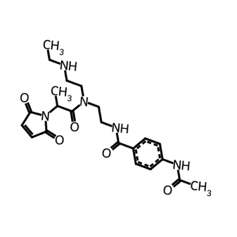 CCNCCN(CCNC(=O)c1ccc(NC(C)=O)cc1)C(=O)C(C)N1C(=O)C=CC1=O